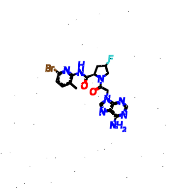 Cc1ccc(Br)nc1NC(=O)[C@H]1C[C@@H](F)CN1C(=O)Cn1cnc2c(N)ncnc21